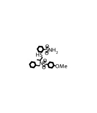 COc1ccc(S(=O)(=O)N(Cc2ccccc2)C(C)CS)cc1.NS(=O)(=O)c1ccccc1